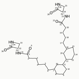 O=C(CCCCCC1CCCC(C2CCCC(CCCCC(=O)N[C@H]3CNC3=O)C2)C1)N[C@H]1CNC1=O